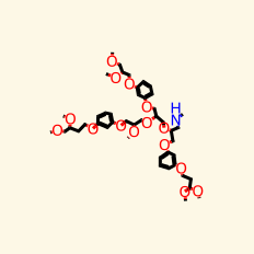 CNCC(COc1cccc(OCCC(OC)OC)c1)OCC(COc1cccc(OCC(COC)OC)c1)OCC(COc1cccc(OCCC(COC)OC)c1)OC